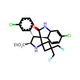 CCOC(=O)[C@@H]1NC2(CC(CF)(CF)C2)[C@@]2(C(=O)NC3C=C(Cl)C=CC32)[C@H]1c1cccc(Cl)c1